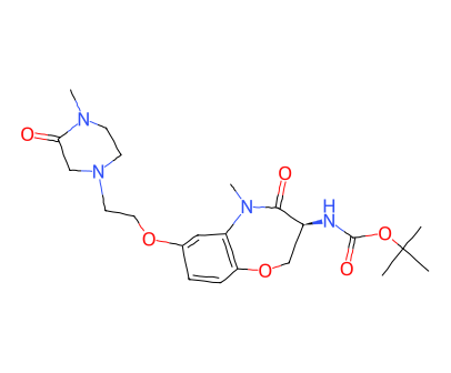 CN1CCN(CCOc2ccc3c(c2)N(C)C(=O)[C@@H](NC(=O)OC(C)(C)C)CO3)CC1=O